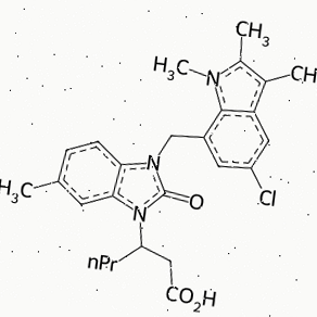 CCCC(CC(=O)O)n1c(=O)n(Cc2cc(Cl)cc3c(C)c(C)n(C)c23)c2ccc(C)cc21